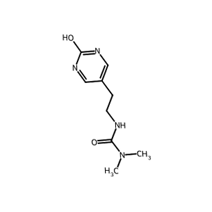 CN(C)C(=O)NCCc1cnc(O)nc1